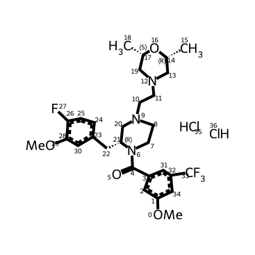 COc1cc(C(=O)N2CCN(CCN3C[C@@H](C)O[C@@H](C)C3)C[C@H]2Cc2ccc(F)c(OC)c2)cc(C(F)(F)F)c1.Cl.Cl